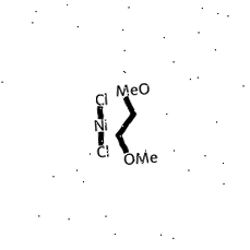 COCCOC.[Cl][Ni][Cl]